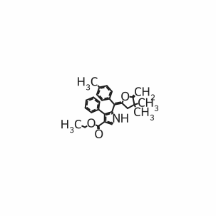 C=C1OC(=C(c2ccc(C)cc2)c2[nH]cc(C(=O)OCC)c2-c2ccccc2)CC1(C)C